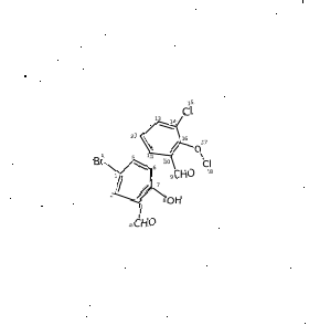 O=Cc1cc(Br)ccc1O.O=Cc1cccc(Cl)c1OCl